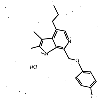 CCCc1cnc(COc2ccc(F)cc2)c2[nH]c(C)c(C)c12.Cl